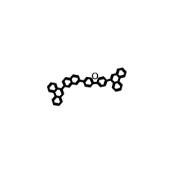 c1ccc2c(c1)cc(-c1ccc3ccc(-c4ccc5c(c4)oc4cc(-c6cc7ccccc7c7ccccc67)ccc45)cc3c1)c1ccccc12